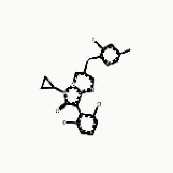 O=c1c(-c2c(Cl)cccc2Cl)c2ncc(Sc3ccc(F)cc3F)cn2n1C1CC1